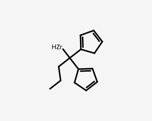 CCC[C]([ZrH])(C1=CC=CC1)C1=CC=CC1